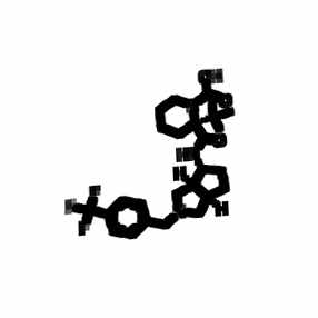 CC(C)(C)[C@]1(C(=O)N[C@@H]2CC[C@H]3CN(Cc4ccc(C(F)(F)F)cc4)C[C@H]32)CCCCN1C(=O)O